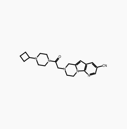 N#Cc1cnc2c(c1)cc1n2CCN(CC(=O)N2CCN(C3CCC3)CC2)C1